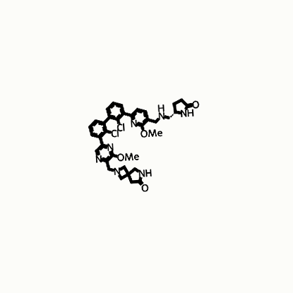 COc1nc(-c2cccc(-c3cccc(-c4cnc(CN5CC6(CNC(=O)C6)C5)c(OC)n4)c3Cl)c2Cl)ccc1CNC[C@@H]1CCC(=O)N1